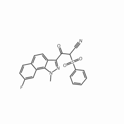 Cn1nc(C(=O)C(C#N)S(=O)(=O)c2ccccc2)c2ccc3ccc(F)cc3c21